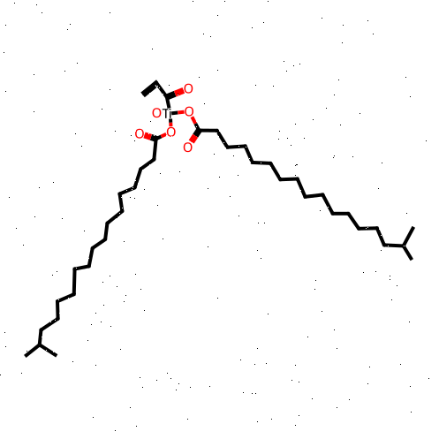 C=C[C](=O)[Ti](=[O])([O]C(=O)CCCCCCCCCCCCCCC(C)C)[O]C(=O)CCCCCCCCCCCCCCC(C)C